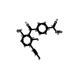 CC#Cc1ccc(N=O)c(C(=O)c2ccc(C(=O)OC)cc2)c1C